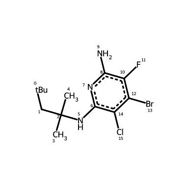 CC(C)(C)CC(C)(C)Nc1nc(N)c(F)c(Br)c1Cl